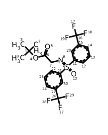 CC(C)(C)OC(=O)CN=S(=O)(c1cccc(C(F)(F)F)c1)c1cccc(C(F)(F)F)c1